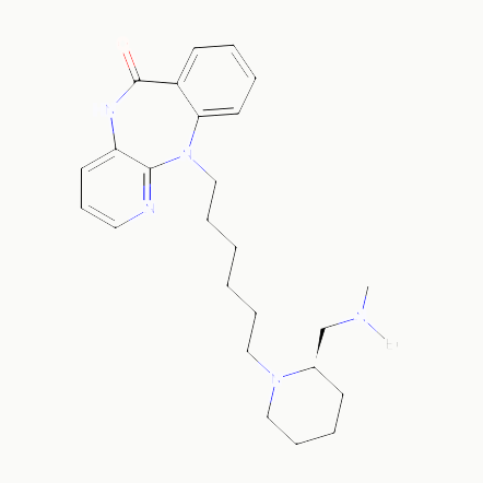 CCN(CC)C[C@H]1CCCCN1CCCCCCN1c2ccccc2C(=O)Nc2cccnc21